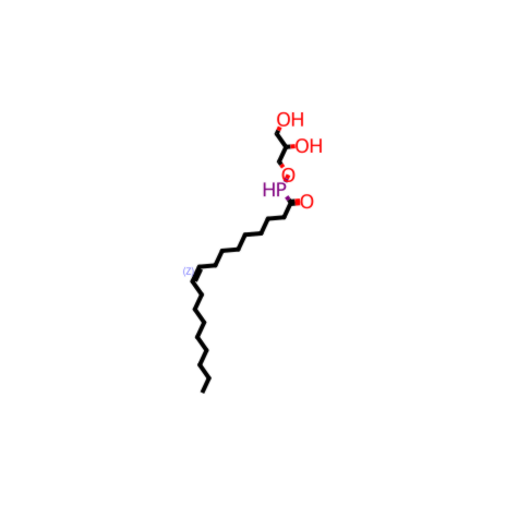 CCCCCCCC/C=C\CCCCCCCC(=O)POCC(O)CO